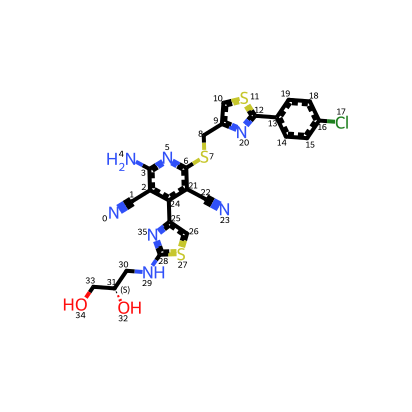 N#Cc1c(N)nc(SCc2csc(-c3ccc(Cl)cc3)n2)c(C#N)c1-c1csc(NC[C@H](O)CO)n1